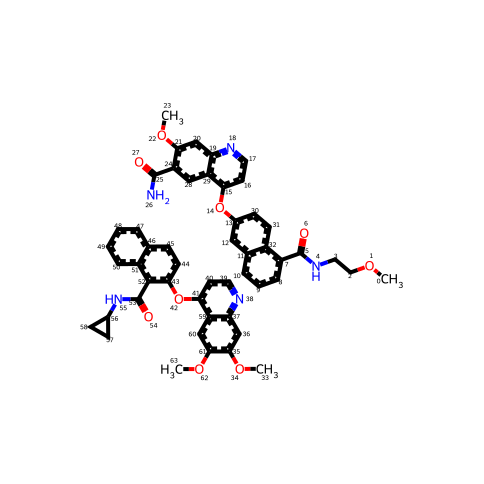 COCCNC(=O)c1cccc2cc(Oc3ccnc4cc(OC)c(C(N)=O)cc34)ccc12.COc1cc2nccc(Oc3ccc4ccccc4c3C(=O)NC3CC3)c2cc1OC